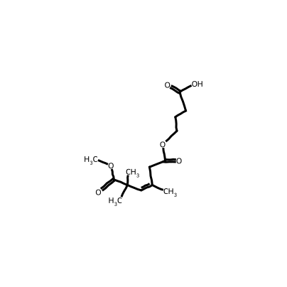 COC(=O)C(C)(C)C=C(C)CC(=O)OCCCC(=O)O